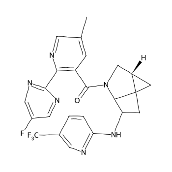 Cc1cnc(-c2ncc(F)cn2)c(C(=O)N2C[C@@H]3CC34CC(Nc3ccc(C(F)(F)F)cn3)C24)c1